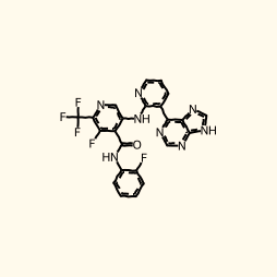 O=C(Nc1ccccc1F)c1c(Nc2ncccc2-c2ncnc3[nH]cnc23)cnc(C(F)(F)F)c1F